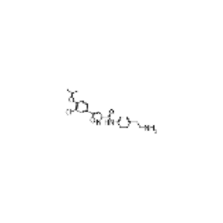 CC(C)Oc1ccc(-c2cc(C(=O)Nc3ccc(CCN)cc3)no2)cc1Cl